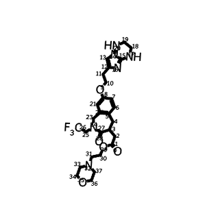 O=C(CC1Cc2ccc(OCCc3cn4c(n3)NCCN4)cc2CN(CC(F)(F)F)C1=O)OCCN1CCOCC1